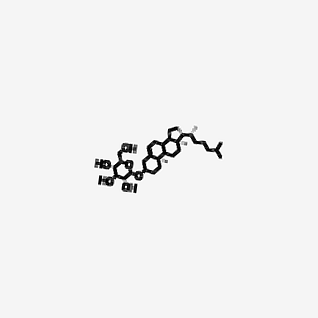 CC(C)CCC[C@@H](C)[C@H]1CCC2C3CC=C4CC(O[C@@H]5O[C@H](CO)[C@@H](O)[C@H](O)[C@H]5O)CC[C@]4(C)C3CC[C@@]21C